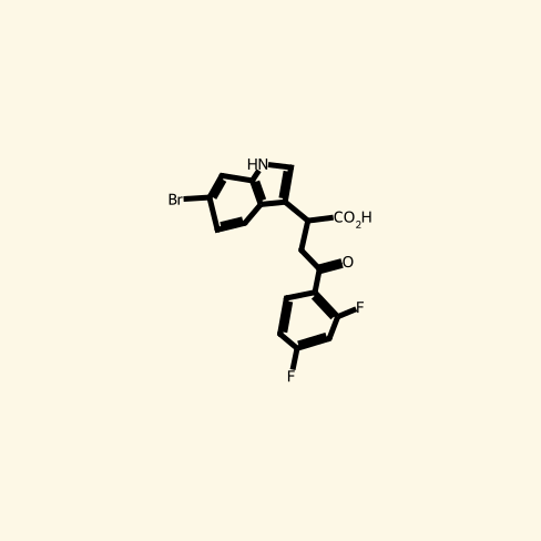 O=C(CC(C(=O)O)c1c[nH]c2cc(Br)ccc12)c1ccc(F)cc1F